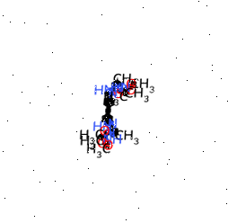 COC(=O)N[C@H](C(=O)N1C[C@@H](C)C[C@H]1c1nc(-c2ccc(C#Cc3ccc4[nH]c([C@@H]5C[C@H](C)CN5C(=O)[C@@H](NC(=O)OC)C(C)C)nc4c3)cc2)c[nH]1)C(C)C